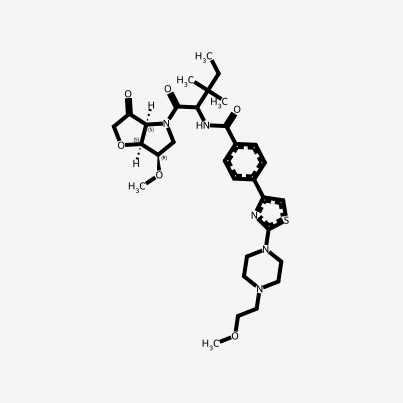 CCC(C)(C)C(NC(=O)c1ccc(-c2csc(N3CCN(CCOC)CC3)n2)cc1)C(=O)N1C[C@@H](OC)[C@H]2OCC(=O)[C@H]21